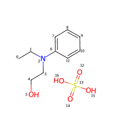 CCN(CCO)c1ccccc1.O=S(=O)(O)O